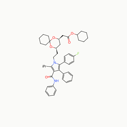 CC(C)c1c(C(=O)Nc2ccccc2)c(-c2ccccc2)c(-c2ccc(F)cc2)n1CC[C@@H]1C[C@H](CC(=O)OC2CCCCC2)OC2(CCCCC2)O1